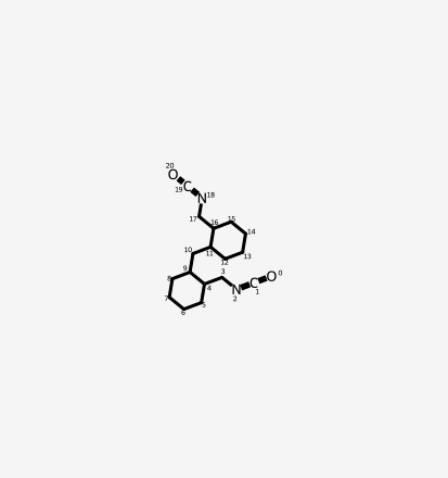 O=C=NCC1CCCCC1CC1CCCCC1CN=C=O